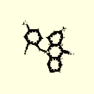 O=C(O)c1ccc(Cn2c3ccccc3c(=O)c3ccccc32)c(F)c1.[Na]